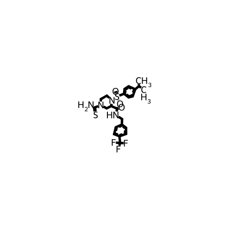 CC(C)c1ccc(S(=O)(=O)N2CCN(C(N)=S)CC2C(=O)NCc2ccc(C(F)(F)F)cc2)cc1